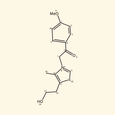 COc1ccc(C(=O)C[n+]2csc(CCO)c2C)cc1